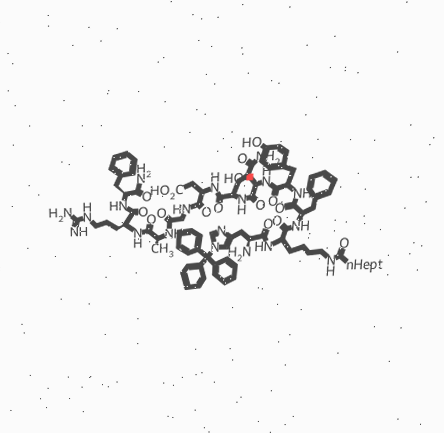 CCCCCCCC(=O)NCCCCC(NC(=O)[C@@H](N)Cc1cn(C(c2ccccc2)(c2ccccc2)c2ccccc2)cn1)C(=O)NC(Cc1ccccc1)C(=O)NC(Cc1ccc(O)cc1)C(=O)NC(CO)C(=O)NC(CCC(N)=O)C(=O)NC(CC(=O)O)C(=O)NCC(=O)N[C@@H](C)C(=O)N[C@@H](CCCNC(=N)N)C(=O)N[C@@H](Cc1ccccc1)C(N)=O